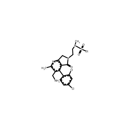 CCS(=O)(=O)N(C)CCN1Cc2nc(C)c(CN)c(-c3ccc(Cl)cc3Cl)c2C1=O